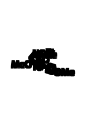 CCC(C#N)Oc1c(-c2ccc(OC)cc2)cnc2c(OC)ccc(OC)c12